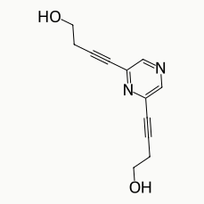 OCCC#Cc1cncc(C#CCCO)n1